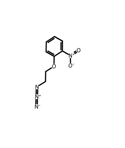 [N-]=[N+]=NCCOc1ccccc1[N+](=O)[O-]